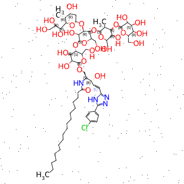 CCCCCCCCCCCCCCCCCC(=O)N[C@@H](CO[C@@H]1OC(CO)[C@@H](O[C@@H]2OC(CO)[C@H](O[C@@H]3OC(CO)[C@H](O)[C@H](O[C@@H]4OC(CO)[C@H](O)[C@H](O)C4O)C3C)[C@H](OC3C[C@@H](O)[C@@H](C)C([C@H](O)[C@H](O)CO)O3)C2O)[C@H](O)C1O)[C@H](O)/C=C/c1nnc(-c2ccc(Cl)cc2)[nH]1